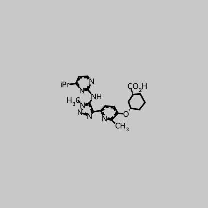 Cc1nc(-c2nnn(C)c2Nc2nccc(C(C)C)n2)ccc1O[C@H]1CCC[C@H](C(=O)O)C1